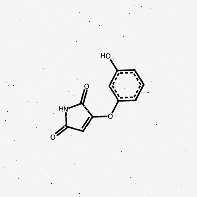 O=C1C=C(Oc2cccc(O)c2)C(=O)N1